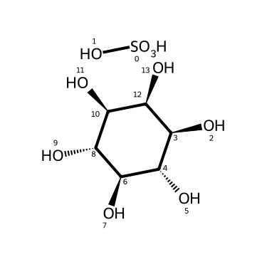 O=S(=O)(O)O.O[C@H]1[C@H](O)[C@@H](O)[C@H](O)[C@@H](O)[C@H]1O